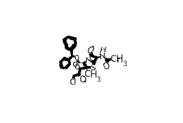 CC(=O)N[C@@H]1C(=O)N2C1S[C@@](C)(C(=O)C(=O)CCl)[C@@H]2C(=O)OC(c1ccccc1)c1ccccc1